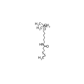 CC[PH](C)(C)OCCCCCCNC(=O)CCSSC